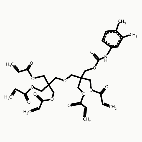 C=CC(=O)OCC(COCC(COC(=O)C=C)(COC(=O)C=C)COC(=O)Nc1ccc(C)c(C)c1)(COC(=O)C=C)COC(=O)C=C